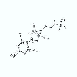 CC(C)(C)[Si](C)(C)OCCC1[C@H]2CN(c3c(F)cc([N+](=O)[O-])cc3F)C[C@@H]12